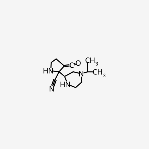 CC(C)N1CCNC(C2(C#N)NCCC2=C=O)C1